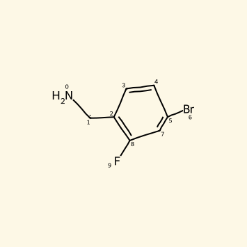 N[CH]c1ccc(Br)cc1F